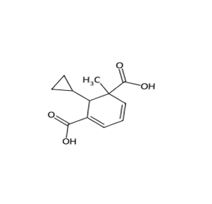 CC1(C(=O)O)C=CC=C(C(=O)O)C1C1CC1